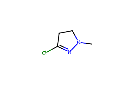 CN1[C]CC(Cl)=N1